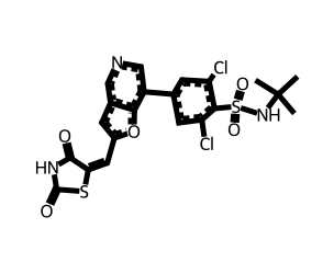 CC(C)(C)NS(=O)(=O)c1c(Cl)cc(-c2cncc3cc(C=C4SC(=O)NC4=O)oc23)cc1Cl